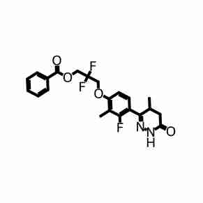 Cc1c(OCC(F)(F)COC(=O)c2ccccc2)ccc(C2=NNC(=O)CC2C)c1F